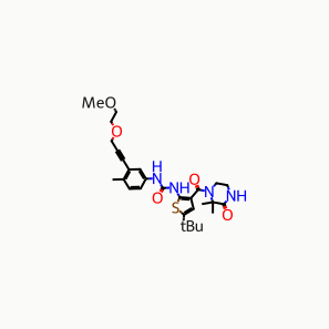 COCCOCC#Cc1cc(NC(=O)Nc2sc(C(C)(C)C)cc2C(=O)N2CCNC(=O)C2(C)C)ccc1C